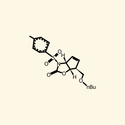 CCCCOC[C@@H]1C=C[C@@H]2[C@H]1OC(=O)N2S(=O)(=O)c1ccc(C)cc1